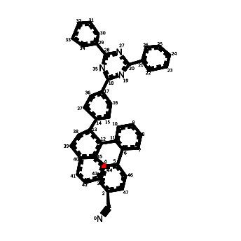 N#Cc1ccc(-c2ccccc2-c2c(-c3ccc(-c4nc(-c5ccccc5)nc(-c5ccccc5)n4)cc3)ccc3ccccc23)cc1